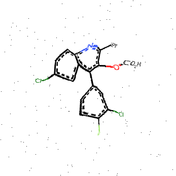 CC(C)c1nc2ccc(Cl)cc2c(-c2ccc(F)c(Cl)c2)c1OC(=O)O